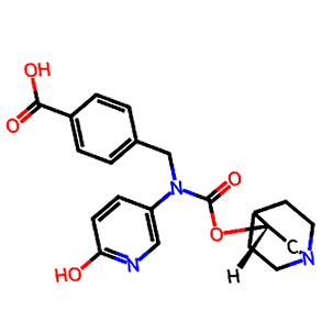 O=C(O)c1ccc(CN(C(=O)O[C@H]2CN3CCC2CC3)c2ccc(O)nc2)cc1